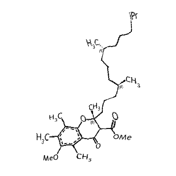 COC(=O)C1C(=O)c2c(C)c(OC)c(C)c(C)c2O[C@]1(C)CCC[C@H](C)CCC[C@H](C)CCCC(C)C